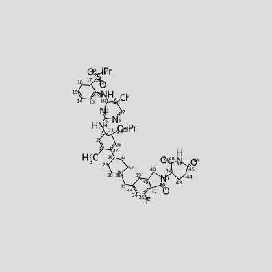 Cc1cc(Nc2ncc(Cl)c(Nc3ccccc3S(=O)(=O)C(C)C)n2)c(OC(C)C)cc1C1CCN(Cc2cc(F)c3c(c2)CN(C2CCC(=O)NC2=O)C3=O)CC1